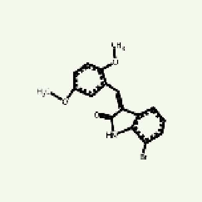 COc1ccc(OC)c(C=C2C(=O)Nc3c(Br)cccc32)c1